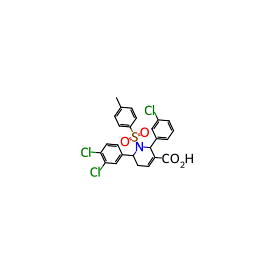 Cc1ccc(S(=O)(=O)N2C(c3ccc(Cl)c(Cl)c3)CC=C(C(=O)O)C2c2cccc(Cl)c2)cc1